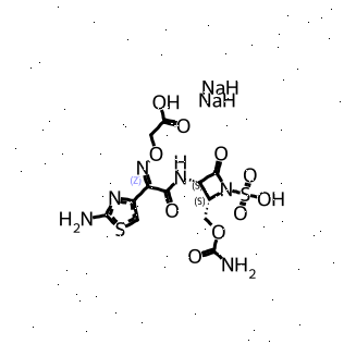 NC(=O)OC[C@@H]1[C@H](NC(=O)/C(=N\OCC(=O)O)c2csc(N)n2)C(=O)N1S(=O)(=O)O.[NaH].[NaH]